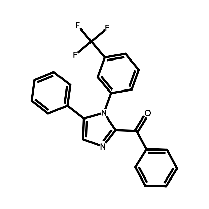 O=C(c1ccccc1)c1ncc(-c2ccccc2)n1-c1cccc(C(F)(F)F)c1